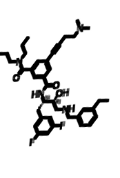 CCCN(CCC)C(=O)c1cc(C#CCCN(C)C)cc(C(=O)N[C@@H](Cc2cc(F)cc(F)c2)[C@H](O)CNCc2cccc(CC)c2)c1